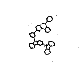 c1ccc(C2Cc3ccc(-c4cccc(-n5c6ccccc6c6cc(-n7c8ccccc8c8ccccc87)ccc65)c4)cc3-c3ccccc32)cc1